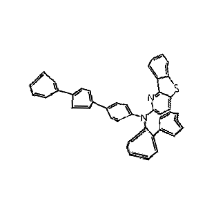 c1ccc(-c2ccc(-c3ccc(N(c4ccc5sc6ccccc6c5n4)c4ccccc4-c4ccccc4)cc3)cc2)cc1